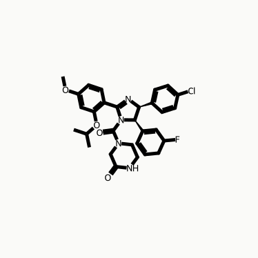 COc1ccc(C2=N[C@@H](c3ccc(Cl)cc3)[C@@H](C3=CC(F)CC=C3)N2C(=O)N2CCNC(=O)C2)c(OC(C)C)c1